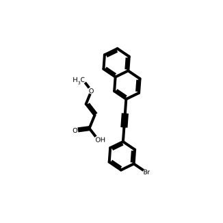 Brc1cccc(C#Cc2ccc3ccccc3c2)c1.COC=CC(=O)O